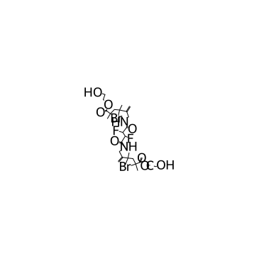 C=C(CNC(=O)C(F)C(F)C(=O)NCC(=C)C(C)(C)CC(C)(Br)C(=O)OCCO)C(C)(C)CC(C)(Br)C(=O)OCCO